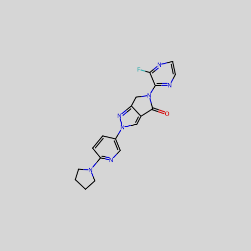 O=C1c2cn(-c3ccc(N4CCCC4)nc3)nc2CN1c1nccnc1F